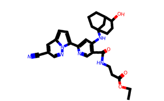 CCOC(=O)CCNC(=O)c1cnc(-c2ccc3cc(C#N)cnn23)cc1NC12CCCC(C1)C(O)CC2